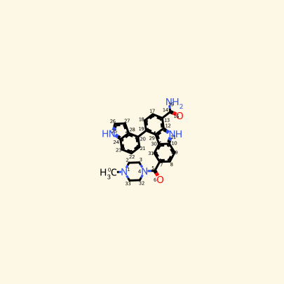 CN1CCN(C(=O)c2ccc3[nH]c4c(C(N)=O)ccc(-c5cccc6[nH]ccc56)c4c3c2)CC1